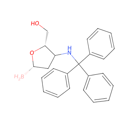 B[C@H]1CC(NC(c2ccccc2)(c2ccccc2)c2ccccc2)[C@@H](CO)O1